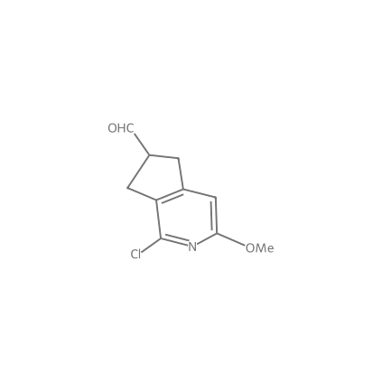 COc1cc2c(c(Cl)n1)CC(C=O)C2